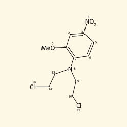 COc1cc([N+](=O)[O-])ccc1N(CCCl)CCCl